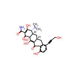 CN(C)[C@H]1C(O)=C(C(N)=O)C(=O)[C@]2(O)C(O)=C3C(=O)c4c(O)ccc(C#CCO)c4C[C@@H]3C[C@H]12